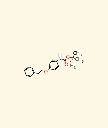 CC(C)(C)OC(=O)Nc1ccc(OCCc2ccccc2)cc1